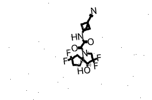 N#CC12CC(NC(=O)C(=O)N3CC(F)(F)[C@@H](O)[C@@]34CCC(F)(F)C4)(C1)C2